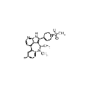 CC1c2c(C3=CCN(S(C)(=O)=O)CC3)[nH]c3nccc(c23)-c2cc(F)ccc2N1C